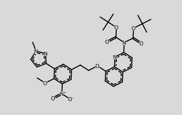 COc1c(-c2ccn(C)n2)cc(CCOc2cccc3ccc(N(C(=O)OC(C)(C)C)C(=O)OC(C)(C)C)nc23)cc1[N+](=O)[O-]